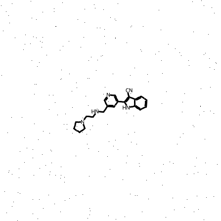 N#Cc1c(-c2cncc(CNCCN3CCCC3)c2)[nH]c2ccccc12